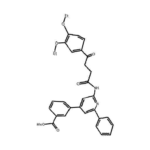 CCOc1ccc(C(=O)CCC(=O)Nc2cc(-c3cccc(C(=O)OC)c3)cc(-c3ccccc3)n2)cc1OCC